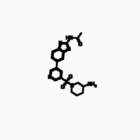 CC(=O)Nc1nc2ccc(-c3cncc(S(=O)(=O)N4CCCC(N)C4)c3)cc2s1